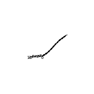 CC#CC#CC#CC#CC#CC#CC#CC#CC#CC#CC(=O)OCCOCCOCC[N+](C)(C)C